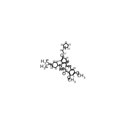 COc1cc(OC)c2c(=O)[nH]c(-c3ncc(OCCN4CCCC4)cc3NC3CCN(C(C)C)CC3)nc2c1